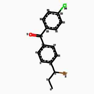 CCC(Br)c1ccc(C(=O)c2ccc(Cl)cc2)cc1